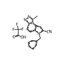 Cc1nnc2ccc3c(cc(C#N)n3Cc3ccccc3)n12.O=C(O)C(F)(F)F